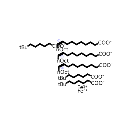 CC(C)(C)CCCCCC(=O)[O-].CC(C)(C)CCCCCC(=O)[O-].CC(C)(C)CCCCCC(=O)[O-].CCCCCCCC/C=C\CCCCCCCC(=O)[O-].CCCCCCCC/C=C\CCCCCCCC(=O)[O-].CCCCCCCC/C=C\CCCCCCCC(=O)[O-].[Fe+3].[Fe+3]